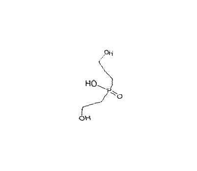 O=P(O)(CCO)CCO